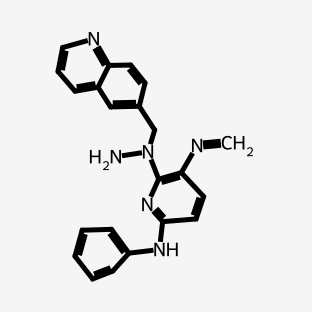 C=Nc1ccc(Nc2ccccc2)nc1N(N)Cc1ccc2ncccc2c1